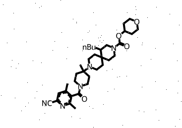 CCCCC1CN(C(=O)OC2CCOCC2)CCC12CCN(C1(C)CCN(C(=O)c3c(C)cc(C#N)nc3C)CC1)CC2